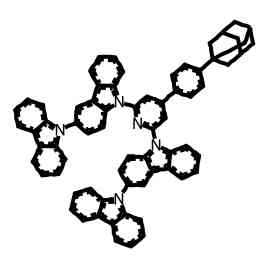 c1ccc2c(c1)c1ccccc1n2-c1ccc2c(c1)c1ccccc1n2-c1cc(-c2ccc(C34CC5CC(CC(C5)C3)C4)cc2)cc(-n2c3ccccc3c3cc(-n4c5ccccc5c5ccccc54)ccc32)n1